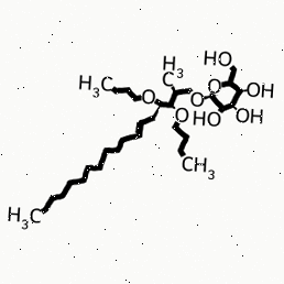 CCCCCCCCCCCC=CC[C@@H](OCCCC)[C@@H](OCCCC)[C@@H](C)CO[C@H]1OC(CO)[C@H](O)[C@H](O)C1O